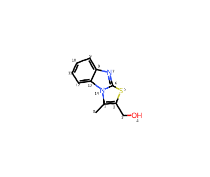 Cc1c(CO)sc2nc3ccccc3n12